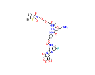 CCC(SC1CC(=O)N(CCOCCOCCC(=O)N[C@@H](C)C(=O)N[C@@H](CCCCN)C(=O)Nc2ccc(COC(=O)NCc3c4c(nc5cc(F)c(C)cc35)-c3cc5c(c(=O)n3C4)COC(=O)[C@]5(O)CC)cc2)C1=O)C1CCCC1